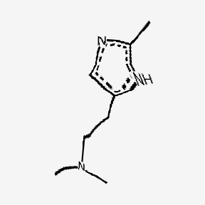 Cc1ncc(CCN(C)C)[nH]1